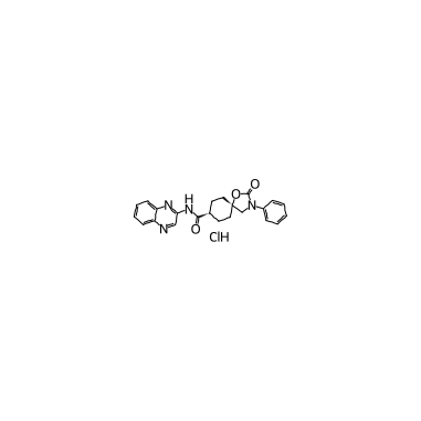 Cl.O=C1O[C@]2(CC[C@H](C(=O)Nc3cnc4ccccc4n3)CC2)CN1c1ccccc1